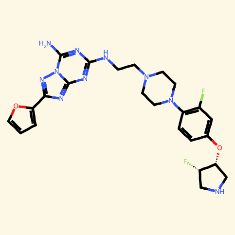 Nc1nc(NCCN2CCN(c3ccc(O[C@@H]4CNC[C@@H]4F)cc3F)CC2)nc2nc(-c3ccco3)nn12